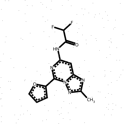 Cc1nc2cc(NC(=O)C(F)F)nc(-c3ccco3)n2n1